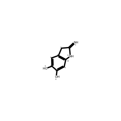 N=C1Cc2cc(O)c(O)cc2N1